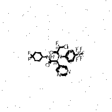 O=C(NC1CCC(F)(F)CC1)[C@@H](c1cncnc1)N(C(=O)[C@H](F)Cl)c1ccc(S(F)(F)(F)(F)F)cc1